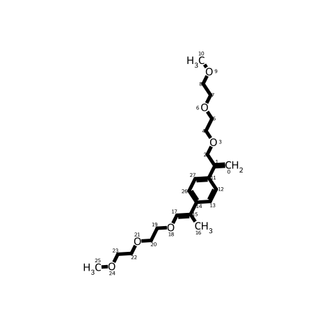 C=C(COCCOCCOC)c1ccc(/C(C)=C/OCCOCCOC)cc1